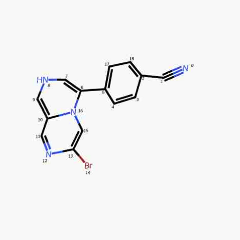 N#Cc1ccc(C2=CNC=C3C=NC(Br)=CN32)cc1